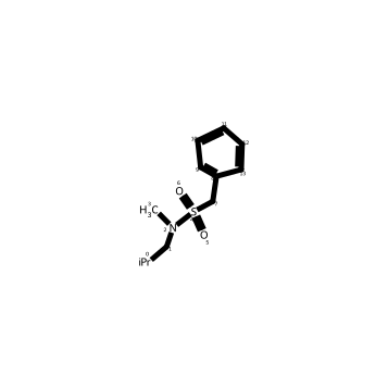 CC(C)CN(C)S(=O)(=O)Cc1ccccc1